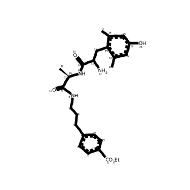 CCOC(=O)c1ccc(CCCNC(=O)[C@@H](C)NC(=O)C(N)Cc2c(C)cc(O)cc2C)cc1